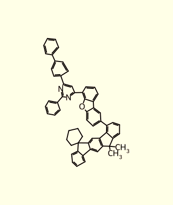 CC1(C)c2cc3c(cc2-c2c(-c4ccc5oc6c(-c7cc(-c8ccc(-c9ccccc9)cc8)nc(-c8ccccc8)n7)cccc6c5c4)cccc21)C1(CCCCC1)c1ccccc1-3